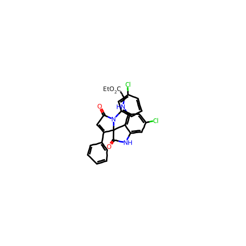 CCOC(=O)CNc1cc(Cl)cc2c1C1(C(=O)N2)C(c2ccccc2)=CC(=O)N1c1cccc(Cl)c1